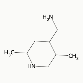 CC1CC(CN)C(C)CN1